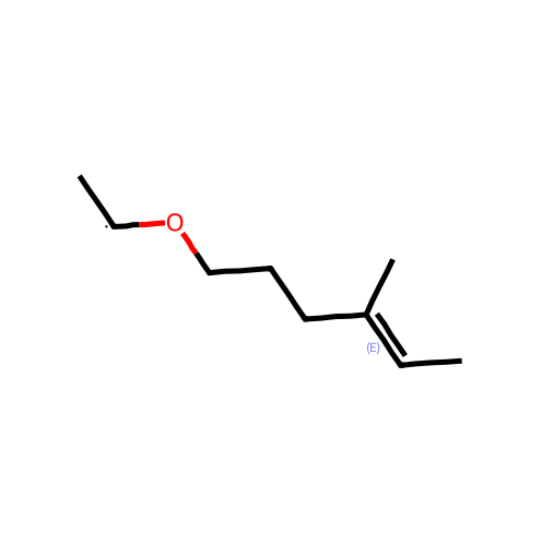 C[CH]OCCC/C(C)=C/C